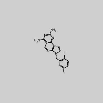 Nc1nc(N)c2ccc3c(ccn3Cc3cc(Cl)ccc3F)c2n1